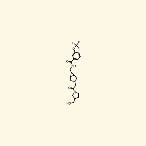 O=C(NCC1C2CN(CC(=O)N3CCC(CO)C3)CC12)c1cccc(OC(F)(F)F)c1